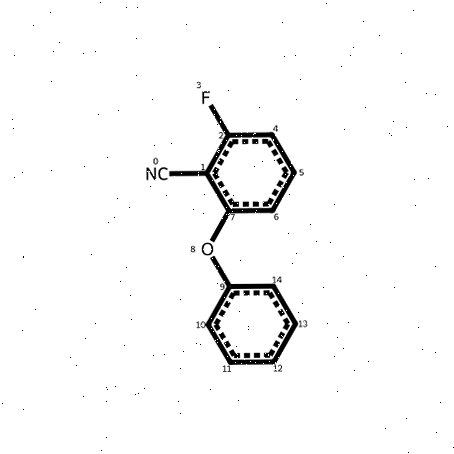 N#Cc1c(F)cccc1Oc1ccccc1